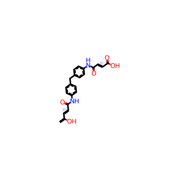 C=C(O)/C=C/C(=O)Nc1ccc(Cc2ccc(NC(=O)/C=C/C(=O)O)cc2)cc1